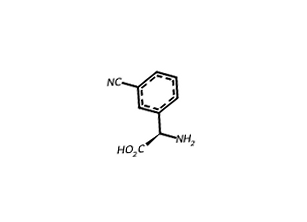 N#Cc1cccc([C@@H](N)C(=O)O)c1